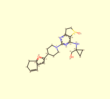 [O-][S+]1CCc2nc(N3CCC(c4cc5c(o4)CCC=C5)CC3)nc(NC3(CO)CC3)c21